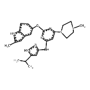 Cc1cc2cc(Oc3nc(Nc4cc(C(C)C)[nH]n4)cc(N4CCN(C)CC4)n3)ccc2[nH]1